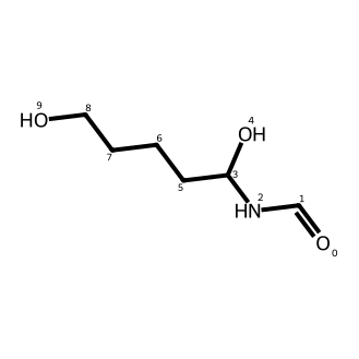 O=CNC(O)CCCCO